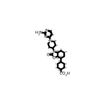 Nc1nccc(N2CCC(N3C(=O)OC4C(C5CCC(C(=O)O)CC5)CCCC43)CC2)n1